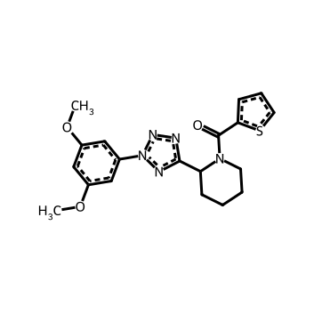 COc1cc(OC)cc(-n2nnc(C3CCCCN3C(=O)c3cccs3)n2)c1